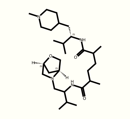 CC(CCC(C)C(=O)N[C@@H](CC1CCN(C)CC1)C(C)C)C(=O)NC(CN1C[C@@H]2C[C@H]1CO2)C(C)C